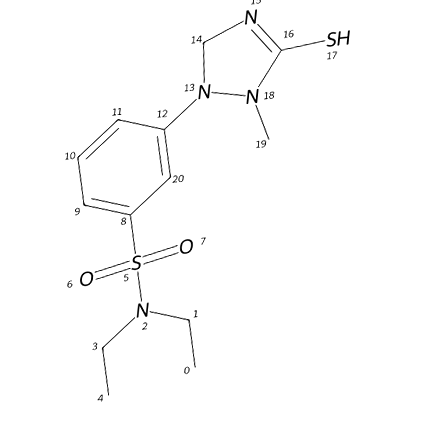 CCN(CC)S(=O)(=O)c1cccc(N2CN=C(S)N2C)c1